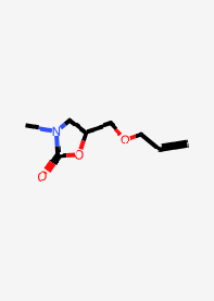 C=CCOCC1CN(C)C(=O)O1